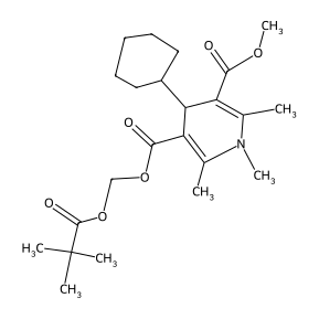 COC(=O)C1=C(C)N(C)C(C)=C(C(=O)OCOC(=O)C(C)(C)C)C1C1CCCCC1